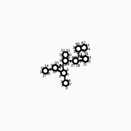 c1ccc(-c2ccc3c(c2)c2cc(-c4ccccc4)ccc2n3-c2cc(-c3ccc4c5ccccc5n(-c5cccc6ccccc56)c4c3)c3ccccc3c2)cc1